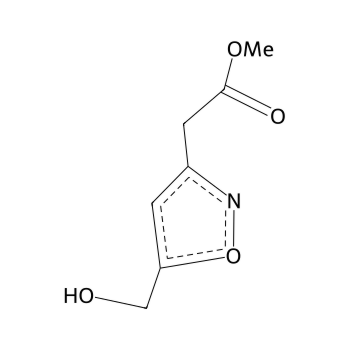 COC(=O)Cc1cc(CO)on1